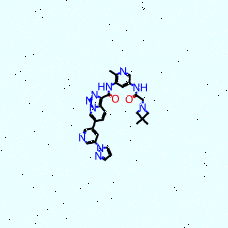 Cc1ncc(NC(=O)CN2CC(C)(C)C2)cc1NC(=O)c1nnn2cc(-c3cncc(-n4cccn4)c3)ccc12